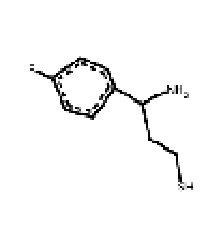 NC(CCS)c1ccc(F)cc1